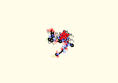 CC[C@@]1(O)C(=O)OCc2c1cc1n(c2=O)Cc2c-1nc1cc(F)c(C)c3c1c2[C@@H](NC(=O)OCc1ccc(NC(=O)CNC(=O)[C@H](Cc2ccccc2)NC(=O)CNC(=O)CNC(=O)CCCCCN2C(=O)CC(S)C2=O)cc1CN(C)C(=O)CN(C)C(=O)CN(C)C(=O)CN(C)C(=O)CN(C)C(=O)CN(C)C(=O)CN(C)C(=O)CN(C)C(=O)CN(C)C(=O)CN(C)C(=O)CN(C)C(C)=O)CC3